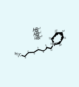 Br.Br.Br.CCCCCCCC[n+]1ccccc1